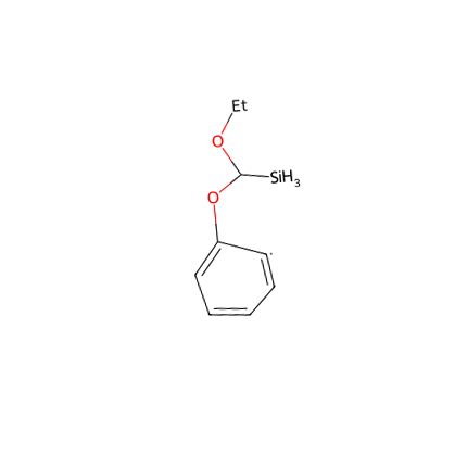 CCOC([SiH3])Oc1[c]cccc1